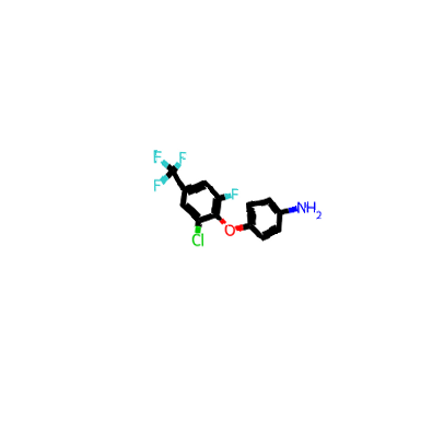 Nc1ccc(Oc2c(F)cc(C(F)(F)F)cc2Cl)cc1